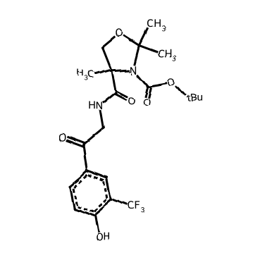 CC(C)(C)OC(=O)N1C(C)(C)OCC1(C)C(=O)NCC(=O)c1ccc(O)c(C(F)(F)F)c1